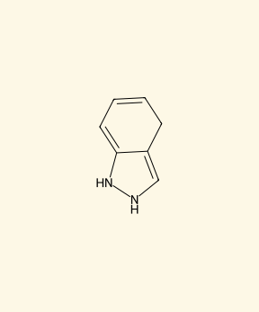 C1=CCC2=CNNC2=C1